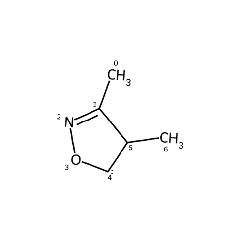 CC1=NO[C]C1C